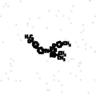 C=CC(=O)N1CCN(c2cccc(CNc3nc(OC4CCN(C)CC4)nc4c(C(C)C)cnn34)c2)CC1